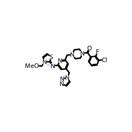 COCn1ccs/c1=N\c1cc(Cn2ccnn2)cc(CN2CCN(C(=O)c3cccc(Cl)c3F)CC2)n1